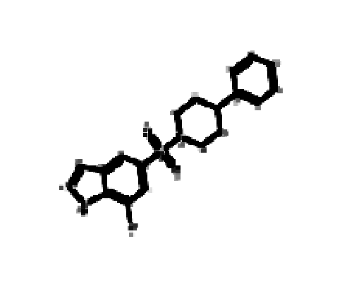 O=S(=O)(c1cc(Br)c2[nH]ncc2c1)N1CCC(c2ccccc2)CC1